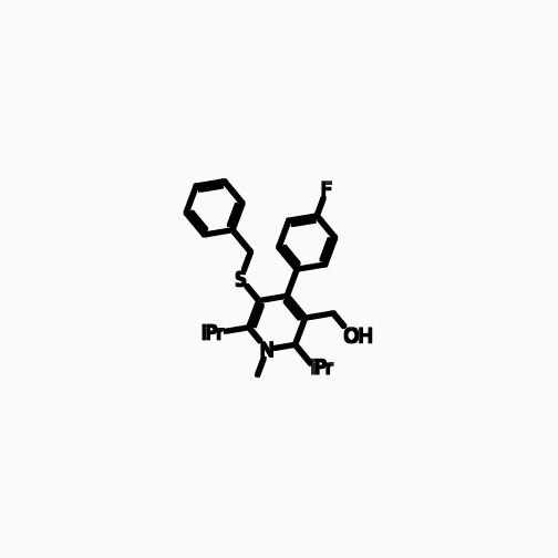 CC(C)C1=C(SCc2ccccc2)C(c2ccc(F)cc2)=C(CO)C(C(C)C)N1C